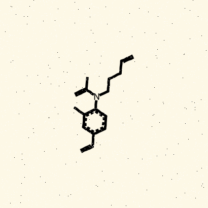 C=CCCCN(C(=C)C)c1ccc(C=C)cc1C